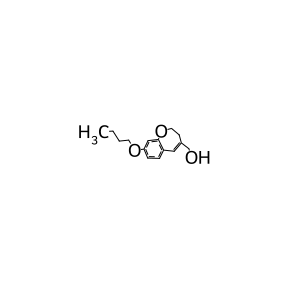 CCCCOc1ccc2c(c1)OCCC(CO)=C2